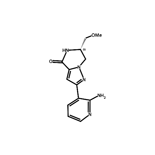 COC[C@@H]1Cn2nc(-c3cccnc3N)cc2C(=O)N1